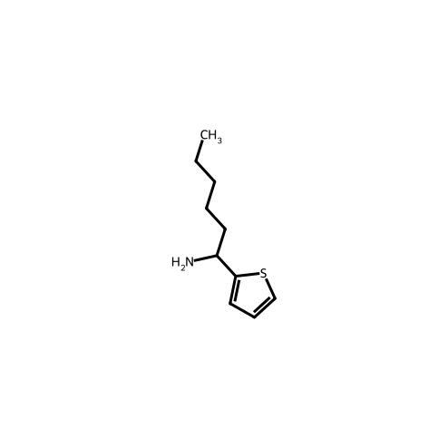 CCCCCC(N)c1cccs1